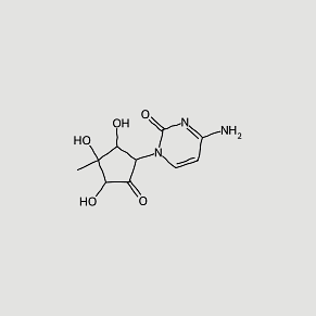 CC1(O)C(O)C(=O)C(n2ccc(N)nc2=O)C1O